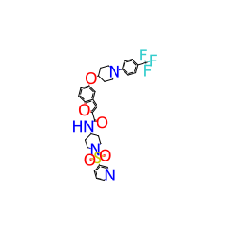 O=C(NC1CCN(S(=O)(=O)c2cccnc2)CC1)c1cc2cc(OC3CCN(c4ccc(C(F)(F)F)cc4)CC3)ccc2o1